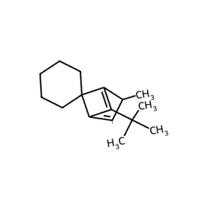 CC1[C]=C2C(C(C)(C)C)=C1C21CCCCC1